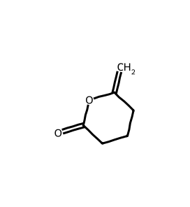 C=C1CCCC(=O)O1